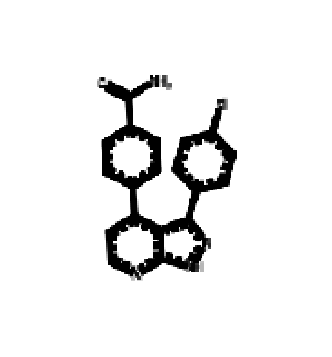 NC(=O)c1ccc(-c2ccnc3[nH]nc(-c4ccc(Cl)cc4)c23)cc1